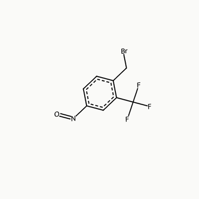 O=Nc1ccc(CBr)c(C(F)(F)F)c1